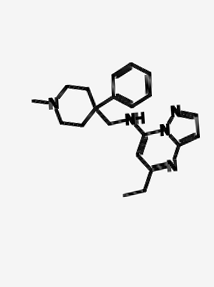 CCc1cc(NCC2(c3ccccc3)CCN(C)CC2)n2nccc2n1